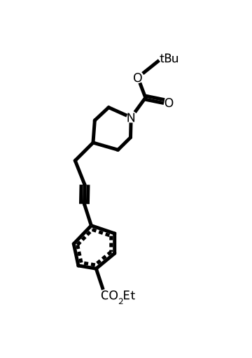 CCOC(=O)c1ccc(C#CCC2CCN(C(=O)OC(C)(C)C)CC2)cc1